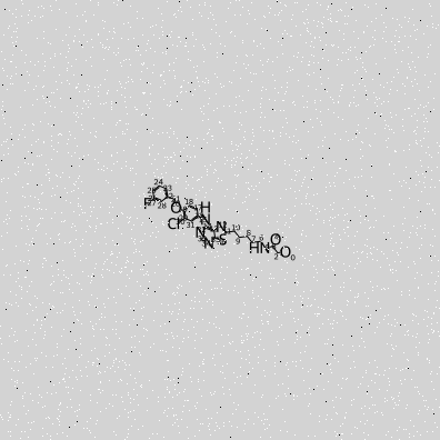 COCC(=O)NCCCCCc1nc2c(Nc3ccc(OCc4cccc(F)c4)c(Cl)c3)ncnc2s1